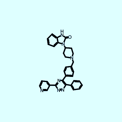 O=c1[nH]c2ccccc2n1C1CCN(Cc2ccc(-c3nc(-c4cccnc4)nnc3-c3ccccc3)cc2)CC1